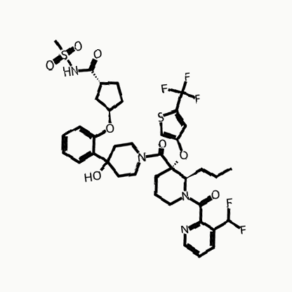 CCC[C@H]1N(C(=O)c2ncccc2C(F)F)CCC[C@@]1(Oc1csc(C(F)(F)F)c1)C(=O)N1CCC(O)(c2ccccc2O[C@@H]2CC[C@@H](C(=O)NS(C)(=O)=O)C2)CC1